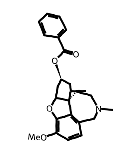 COc1ccc2c3c1OC1C[C@@H](OC(=O)c4ccccc4)CC(C)[C@@]31CCN(C)C2